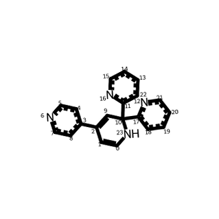 C1=CC(c2ccncc2)=CC(c2ccccn2)(c2ccccn2)N1